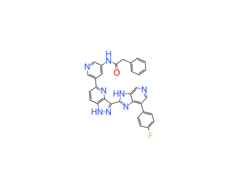 O=C(Cc1ccccc1)Nc1cncc(-c2ccc3[nH]nc(-c4nc5c(-c6ccc(F)cc6)cncc5[nH]4)c3n2)c1